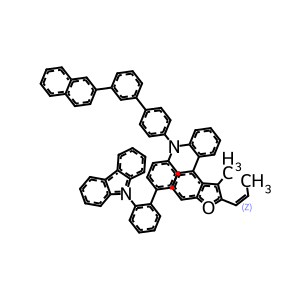 C/C=C\c1oc2cccc(-c3ccccc3N(c3ccc(-c4cccc(-c5ccc6ccccc6c5)c4)cc3)c3ccc(-c4ccccc4-n4c5ccccc5c5ccccc54)cc3)c2c1C